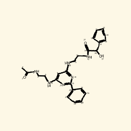 CC(=O)NCCNc1cc(NCCNC(=O)C(O)c2ccccc2)nc(-c2ccccc2)n1